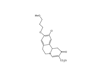 CCOC(=O)C1=CN2CCc3cc(OCCCOC)c(Cl)cc3C2CC1=O